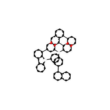 c1ccc(-c2cccc3cccc(-c4ccccc4N(c4ccc(-c5cccc6ccccc56)cc4)c4cccc(-c5cccc6c7ccccc7n(-c7ccccc7)c56)c4)c23)cc1